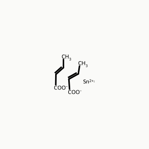 C/C=C/C(=O)[O-].C/C=C/C(=O)[O-].[Sn+2]